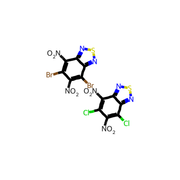 O=[N+]([O-])c1c(Br)c([N+](=O)[O-])c2nsnc2c1Br.O=[N+]([O-])c1c(Cl)c([N+](=O)[O-])c2nsnc2c1Cl